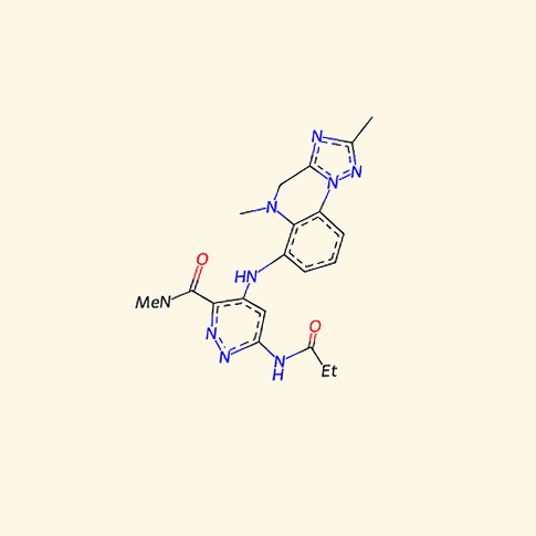 CCC(=O)Nc1cc(Nc2cccc3c2N(C)Cc2nc(C)nn2-3)c(C(=O)NC)nn1